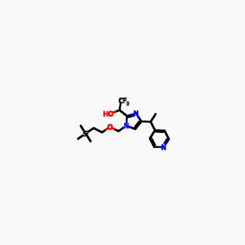 CC(c1ccncc1)c1cn(COCC[Si](C)(C)C)c(C(O)C(F)(F)F)n1